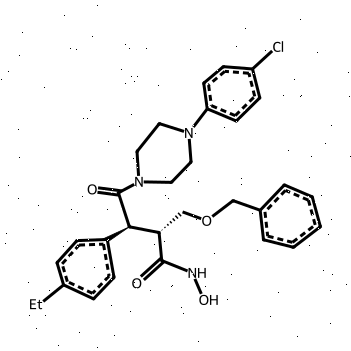 CCc1ccc([C@@H](C(=O)N2CCN(c3ccc(Cl)cc3)CC2)[C@H](COCc2ccccc2)C(=O)NO)cc1